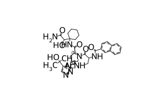 CC(=O)NCC(NC(=O)c1ccc2ccccc2c1)C(=O)N1C[C@@H](n2nncc2C(C)(C)O)C[C@H]1C(=O)NC1(C(O)C(N)=O)CCCCC1